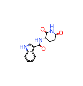 O=C1CC[C@H](NC(=O)c2c[nH]c3ccccc23)C(=O)N1